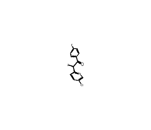 O=C(c1ccc(F)cc1)C(I)c1ccc(Cl)cn1